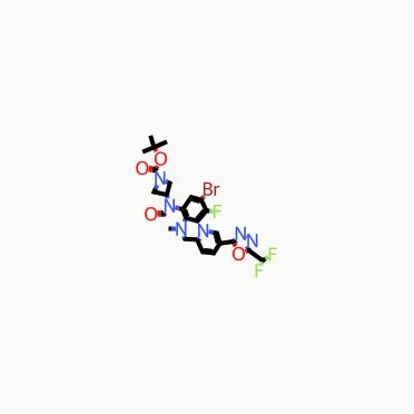 CN(Cc1ccc(-c2nnc(C(F)F)o2)cn1)c1cc(F)c(Br)cc1N(C=O)C1CN(C(=O)OC(C)(C)C)C1